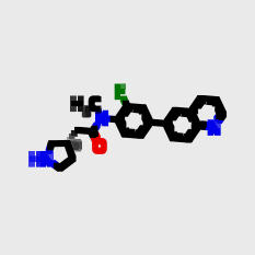 CN(C(=O)C[C@@H]1CCNC1)c1ccc(-c2ccc3ncccc3c2)cc1F